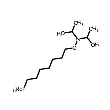 CCCCCCCCCCCCCCCCON(C(C)O)C(C)O